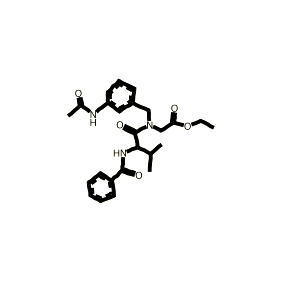 CCOC(=O)CN(Cc1cccc(NC(C)=O)c1)C(=O)C(NC(=O)c1ccccc1)C(C)C